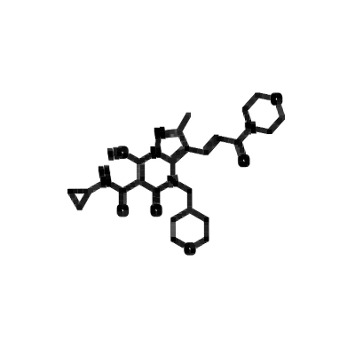 Cc1nn2c(O)c(C(=O)NC3CC3)c(=O)n(CC3CCOCC3)c2c1C=CC(=O)N1CCOCC1